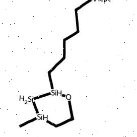 CCCCCCCCCCCC[SiH]1OCC[SiH](C)[SiH2]1